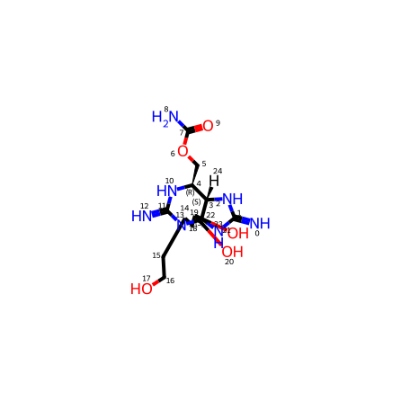 N=C1N[C@H]2[C@H](COC(N)=O)NC(=N)N3C(CCO)CC(O)(O)[C@]23N1